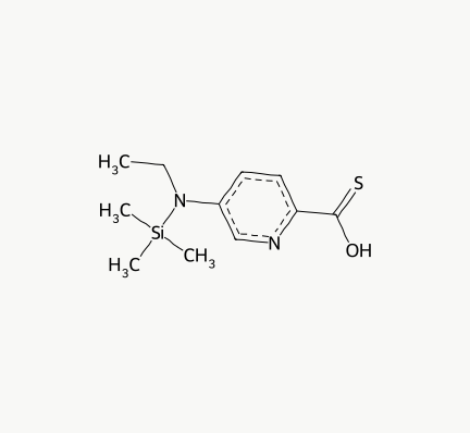 CCN(c1ccc(C(O)=S)nc1)[Si](C)(C)C